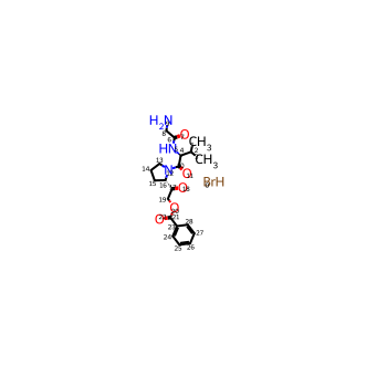 Br.CC(C)[C@H](NC(=O)CN)C(=O)N1CCC[C@H]1C(=O)COC(=O)c1ccccc1